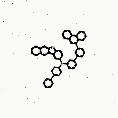 C1=C(c2ccccc2)CCC(N(c2cccc(-c3cccc(-c4cc5ccccc5c5ccccc45)c3)c2)c2ccc3oc4cc5ccccc5cc4c3c2)=C1